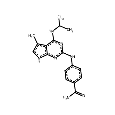 Cc1c[nH]c2nc(Nc3ccc(C(N)=O)cc3)nc(NC(C)C)c12